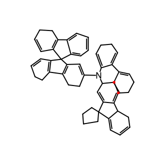 C1=CCC2C3=CCC(N(C4=CC5=C(CC4)C4=C(C=CCC4)C54C5=C(CCC=C5)c5ccccc54)C4=CCCC=C4C4=CCCCC4)C=C3C3(CCCC3)C2=C1